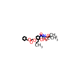 CCCc1c(OCC(=O)OCc2ccccc2)ccc(C(=O)CNC(=O)OC(C)(C)C)c1O